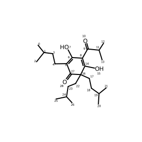 CC(C)CCC1=C(O)C(C(=O)C(C)C)=C(O)C(CCC(C)C)(CCC(C)C)C1=O